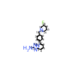 Nc1nc2cccc(-c3ccc(CN4CCCC(F)C4)cc3)n2n1